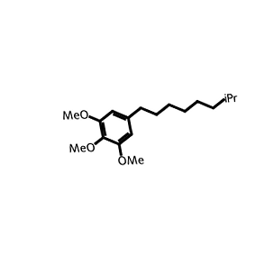 COc1cc(CCCCCCC(C)C)cc(OC)c1OC